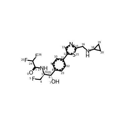 O=C(N[C@H](CF)[C@@H](O)c1ccc(-c2cnc(CNC3CC3)s2)cc1)C(F)F